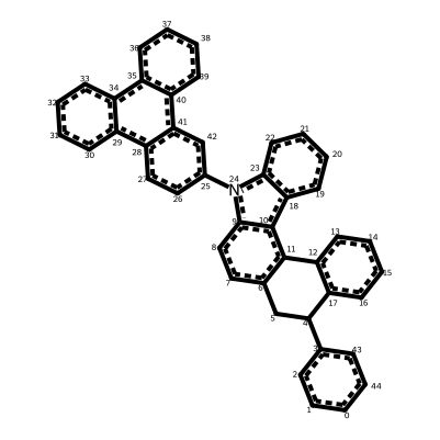 c1ccc(C2Cc3ccc4c(c3-c3ccccc32)c2ccccc2n4-c2ccc3c4ccccc4c4ccccc4c3c2)cc1